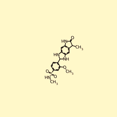 CNS(=O)(=O)c1ccc(C2Nc3cc4c(cc3N2)C(C)C(=O)N4)c(OC)c1